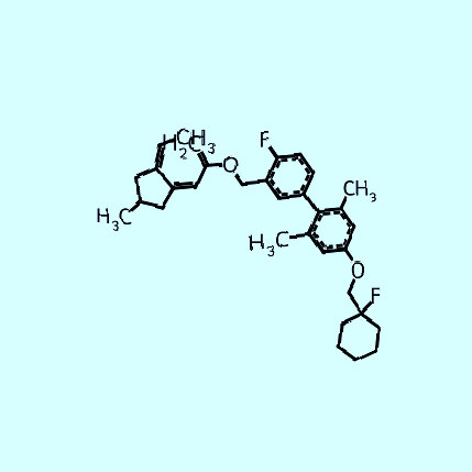 C=C(/C=C1/CC(C)C/C1=C/C)OCc1cc(-c2c(C)cc(OCC3(F)CCCCC3)cc2C)ccc1F